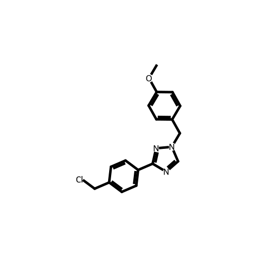 COc1ccc(Cn2cnc(-c3ccc(CCl)cc3)n2)cc1